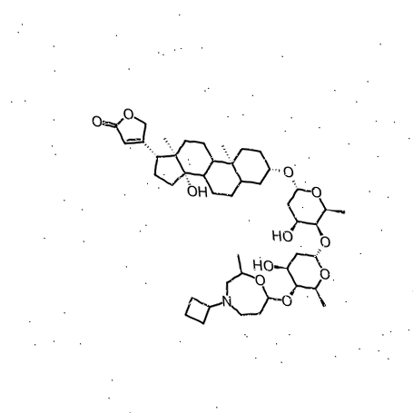 CC1CN(C2CCC2)CCC(O[C@@H]2[C@H](C)O[C@@H](O[C@@H]3[C@H](C)O[C@@H](O[C@H]4CC[C@@]5(C)C(CCC6C5CC[C@]5(C)[C@@H](C7=CC(=O)OC7)CC[C@]65O)C4)C[C@@H]3O)C[C@@H]2O)O1